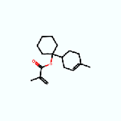 C=C(C)C(=O)OC1(C2CC=C(C)CC2)CCCCC1